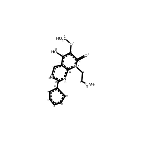 COCCn1c(=O)c(OC(=O)O)c(O)c2cnc(-c3ccccc3)nc21